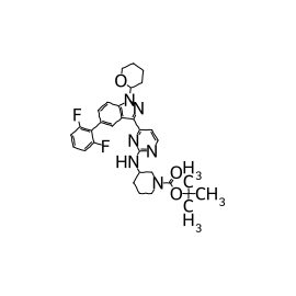 CC(C)(C)OC(=O)N1CCCC(Nc2nccc(-c3nn(C4CCCCO4)c4ccc(-c5c(F)cccc5F)cc34)n2)C1